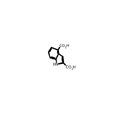 O=C(O)c1cc2c(C(=O)O)cccc2[nH]1